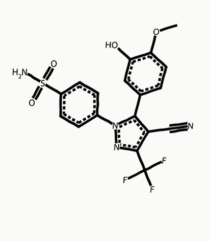 COc1ccc(-c2c(C#N)c(C(F)(F)F)nn2-c2ccc(S(N)(=O)=O)cc2)cc1O